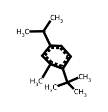 C[C](C)c1ccc(C(C)(C)C)c(C)c1